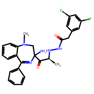 C[C@H](NNC(=O)Cc1cc(F)cc(F)c1)C(=O)C1(N)CN(C)c2ccccc2C(c2ccccc2)=N1